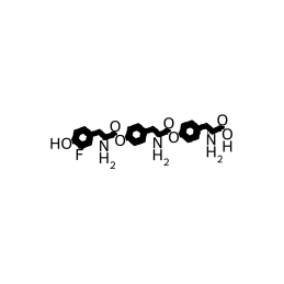 NC(Cc1ccc(OC(=O)C(N)Cc2ccc(O)c(F)c2)cc1)C(=O)Oc1ccc(C[C@@H](N)C(=O)O)cc1